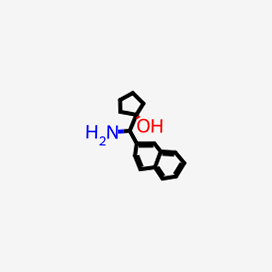 NC(c1ccc2ccccc2c1)C1(O)CCCC1